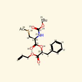 C=CCOC(=O)[C@H](Cc1ccccc1)OC(=O)[C@@H](CSC(C)=O)NC(=O)OC(C)(C)C